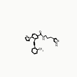 O=C(NCCCc1cn[nH]c1)c1ccc(-n2cccn2)c(C#Cc2ccccc2C(F)(F)F)c1